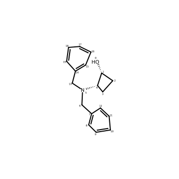 O[C@@H]1CC[C@@H]1N(Cc1ccccc1)Cc1ccccc1